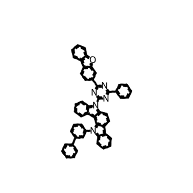 c1ccc(-c2cccc(-n3c4ccccc4c4ccc5c(c6ccccc6n5-c5nc(-c6ccccc6)nc(-c6ccc7c(c6)oc6ccccc67)n5)c43)c2)cc1